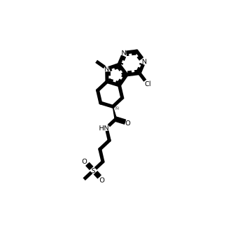 Cn1c2c(c3c(Cl)ncnc31)C[C@@H](C(=O)NCCCS(C)(=O)=O)CC2